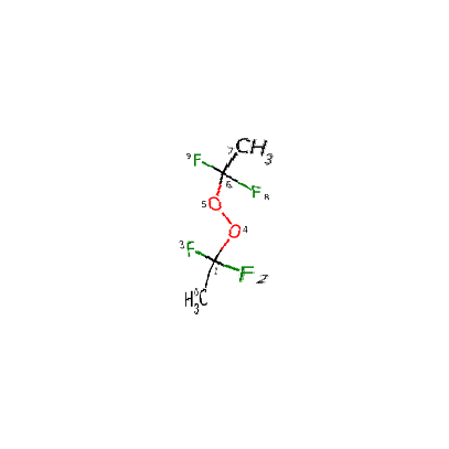 CC(F)(F)OOC(C)(F)F